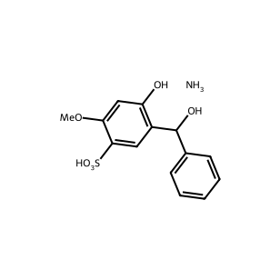 COc1cc(O)c(C(O)c2ccccc2)cc1S(=O)(=O)O.N